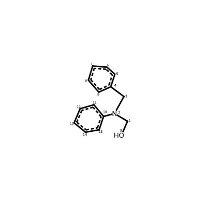 OCN(Cc1ccccc1)c1ccccc1